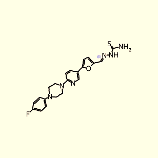 NC(=S)N/N=C/c1ccc(-c2ccc(N3CCN(c4ccc(F)cc4)CC3)nc2)o1